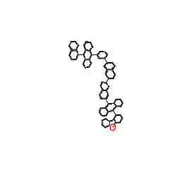 c1cc(-c2ccc3ccc(-c4ccc5ccc(-c6c7ccccc7c(-c7cccc8oc9ccccc9c78)c7ccccc67)cc5c4)cc3c2)cc(-c2c3ccccc3c(-c3cccc4ccccc34)c3ccccc23)c1